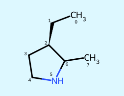 CC[C@@H]1CCNC1C